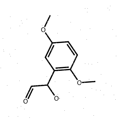 COc1ccc(OC)c(C([O])C=O)c1